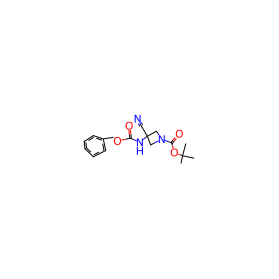 CC(C)(C)OC(=O)N1CC(C#N)(NC(=O)OCc2ccccc2)C1